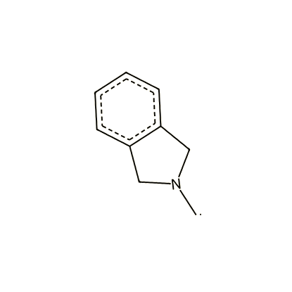 [CH2]N1Cc2ccccc2C1